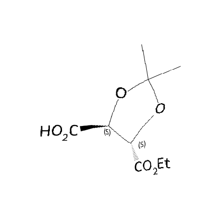 CCOC(=O)[C@H]1OC(C)(C)O[C@@H]1C(=O)O